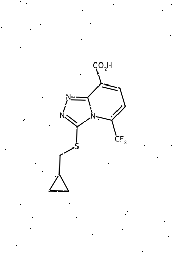 O=C(O)c1ccc(C(F)(F)F)n2c(SCC3CC3)nnc12